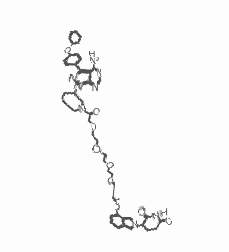 Nc1ncnc2c1c(-c1ccc(Oc3ccccc3)cc1)nn2[C@@H]1CCCN(C(=O)COCCOCCOCCOCCSc2cccc3cn(C4CCC(=O)NC4=O)cc23)C1